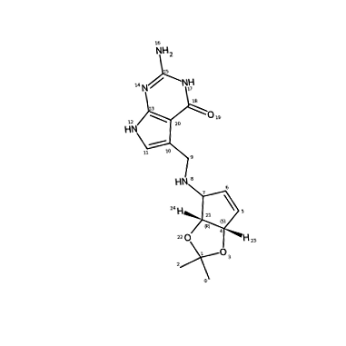 CC1(C)O[C@H]2C=CC(NCc3c[nH]c4nc(N)[nH]c(=O)c34)[C@H]2O1